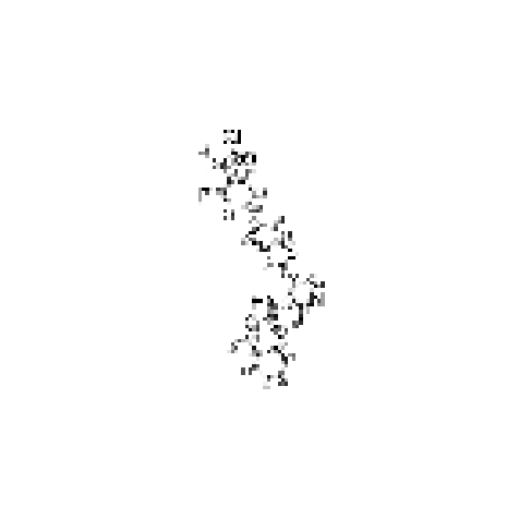 Cc1nsc(-c2cc3sc(-c4ccc(C5(C(=O)O)CC5)c(F)c4)cc3s2)c1NC(=O)O[C@H](C)c1ccccc1